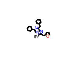 CC(C)c1c(Cc2ccco2)nc2c(Cc3ccccc3)nc(-c3ccccc3)cn12